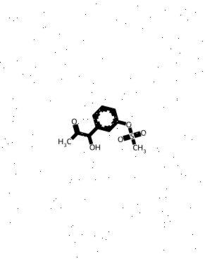 CC(=O)C(O)c1cccc(OS(C)(=O)=O)c1